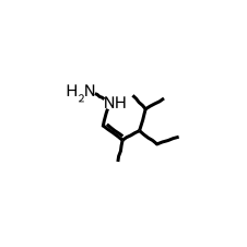 CCC(/C(C)=C\NN)C(C)C